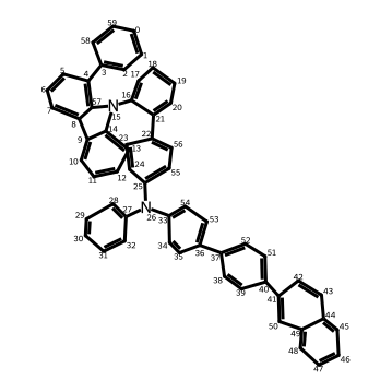 c1ccc(-c2cccc3c4ccccc4n(-c4ccccc4-c4ccc(N(c5ccccc5)c5ccc(-c6ccc(-c7ccc8ccccc8c7)cc6)cc5)cc4)c23)cc1